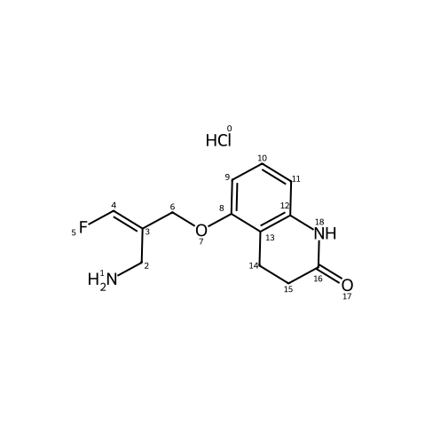 Cl.NC/C(=C\F)COc1cccc2c1CCC(=O)N2